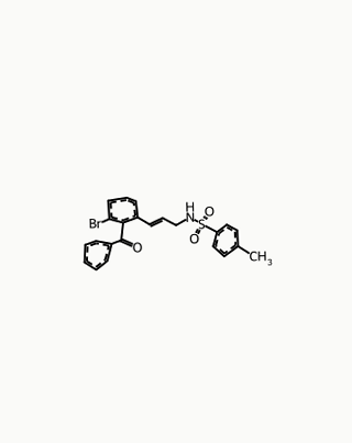 Cc1ccc(S(=O)(=O)NCC=Cc2cccc(Br)c2C(=O)c2ccccc2)cc1